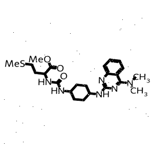 COC(=O)C(CCSC)NC(=O)NC1CCC(Nc2nc(N(C)C)c3ccccc3n2)CC1